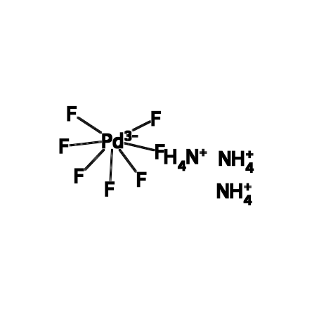 [F][Pd-3]([F])([F])([F])([F])([F])[F].[NH4+].[NH4+].[NH4+]